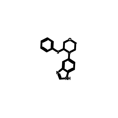 [CH]1CN(c2ccc3[nH]cnc3c2)C(Sc2ccccc2)CO1